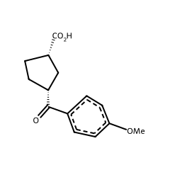 COc1ccc(C(=O)[C@@H]2CC[C@H](C(=O)O)C2)cc1